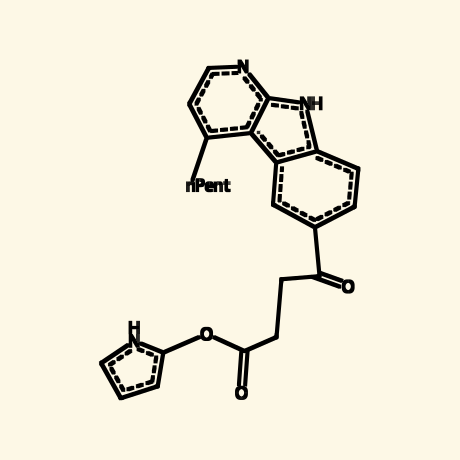 CCCCCc1ccnc2[nH]c3ccc(C(=O)CCC(=O)Oc4ccc[nH]4)cc3c12